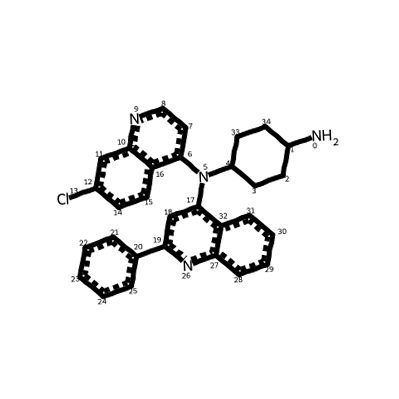 NC1CCC(N(c2ccnc3cc(Cl)ccc23)c2cc(-c3ccccc3)nc3ccccc23)CC1